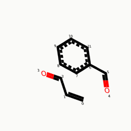 C=CC=O.O=Cc1ccccc1